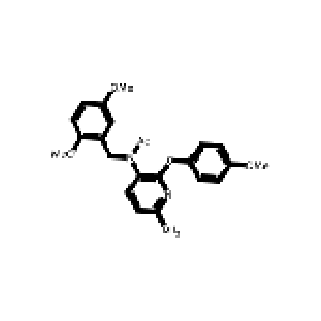 Bc1ccc(N(Cc2cc(OC)ccc2OC)C(C)=O)c(Oc2ccc(OC)cc2)n1